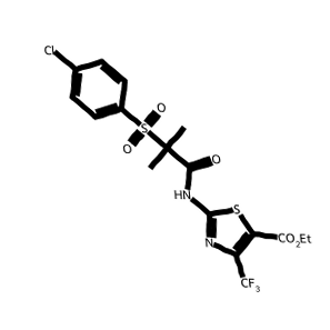 CCOC(=O)c1sc(NC(=O)C(C)(C)S(=O)(=O)c2ccc(Cl)cc2)nc1C(F)(F)F